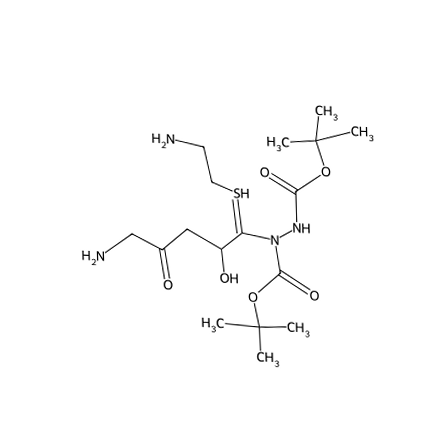 CC(C)(C)OC(=O)NN(C(=O)OC(C)(C)C)C(=[SH]CCN)C(O)CC(=O)CN